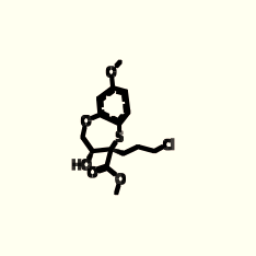 COC(=O)[C@@]1(CCCCl)Sc2ccc(OC)cc2OC[C@@H]1O